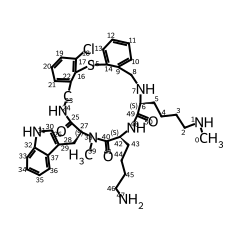 CNCCCC[C@@H]1NCc2ccccc2Sc2c(Cl)cccc2CNC(=O)[C@H](Cc2c[nH]c3ccccc23)N(C)C(=O)[C@H](CCCCN)NC1=O